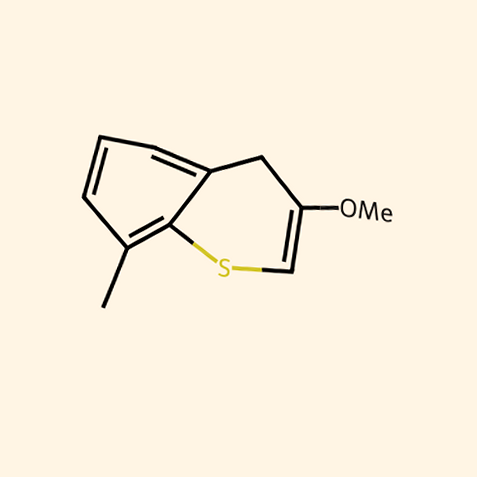 COC1=CSc2c(C)cccc2C1